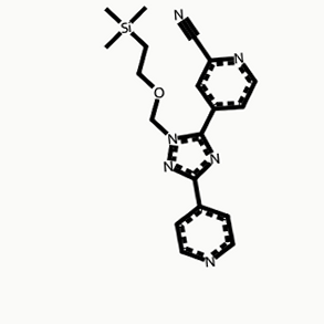 C[Si](C)(C)CCOCn1nc(-c2ccncc2)nc1-c1ccnc(C#N)c1